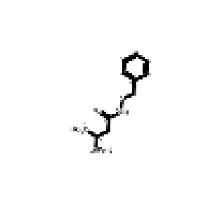 CCCCCC(CC(=O)NOCc1ccccc1)C(=O)O